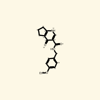 CCOc1ccc(CNC(=O)c2c[nH]c3c(c2=O)CCC3)cc1